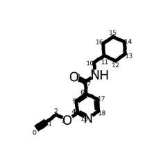 C#CCOc1cc(C(=O)NCC2CCCCC2)ccn1